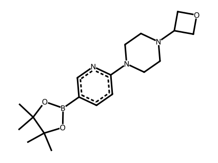 CC1(C)OB(c2ccc(N3CCN(C4COC4)CC3)nc2)OC1(C)C